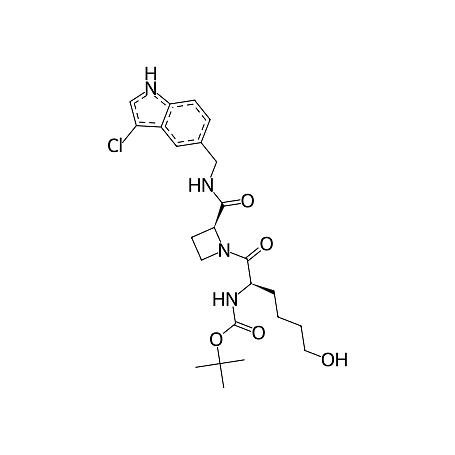 CC(C)(C)OC(=O)N[C@H](CCCCO)C(=O)N1CC[C@H]1C(=O)NCc1ccc2[nH]cc(Cl)c2c1